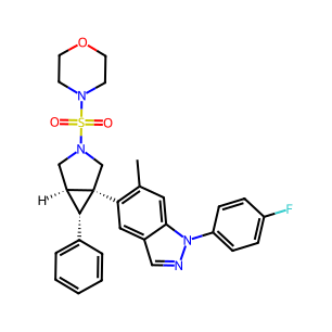 Cc1cc2c(cnn2-c2ccc(F)cc2)cc1[C@@]12CN(S(=O)(=O)N3CCOCC3)C[C@@H]1[C@H]2c1ccccc1